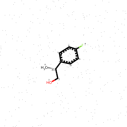 C[C@@H](CO)c1ccc(F)cc1